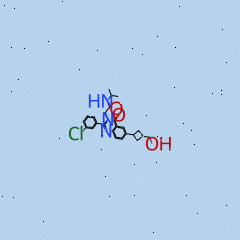 CC(C)NC(=O)Cn1c(-c2cccc(Cl)c2)nc2ccc(C3CC(CO)C3)cc2c1=O